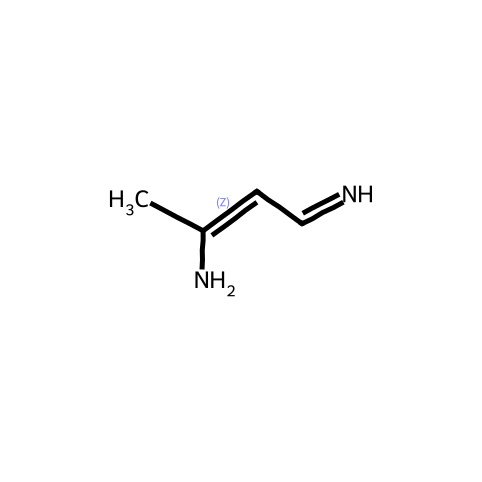 C/C(N)=C/C=N